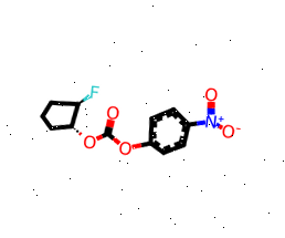 O=C(Oc1ccc([N+](=O)[O-])cc1)O[C@@H]1CCC[C@H]1F